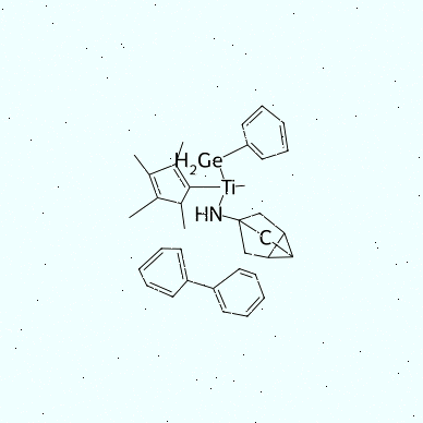 CC1=C(C)C(C)[C]([Ti]([CH3])([NH]C23CC4C(C2)C4C3)[GeH2][c]2ccccc2)=C1C.c1ccc(-c2ccccc2)cc1